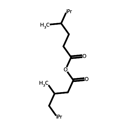 CC(C)CC(C)CC(=O)OC(=O)CCC(C)C(C)C